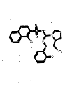 CCc1c(S(=O)(=O)NC(OCC2C=CC=CC2=O)N2CCCC2CN)ccc2ccccc12